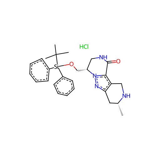 C[C@@H]1Cc2nn3c(c2CN1)C(=O)NC[C@H]3CO[Si](c1ccccc1)(c1ccccc1)C(C)(C)C.Cl